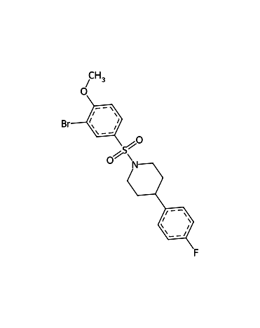 COc1ccc(S(=O)(=O)N2CCC(c3ccc(F)cc3)CC2)cc1Br